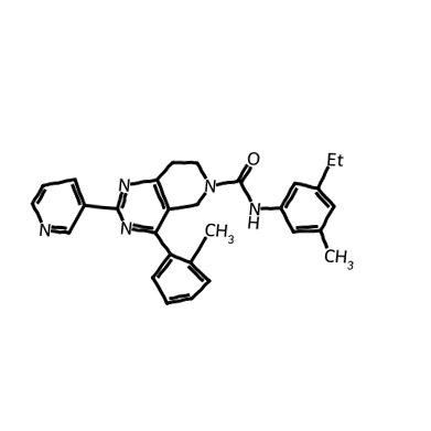 CCc1cc(C)cc(NC(=O)N2CCc3nc(-c4cccnc4)nc(-c4ccccc4C)c3C2)c1